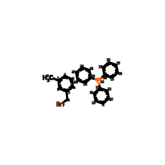 Cc1cccc(CBr)c1.c1ccc(P(c2ccccc2)c2ccccc2)cc1